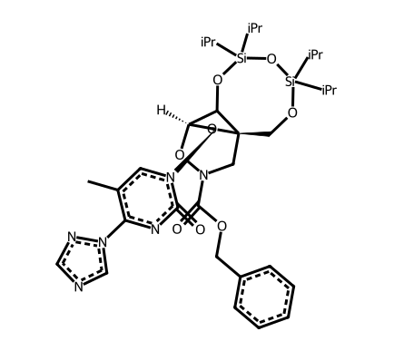 Cc1cn([C@@H]2O[C@]34CO[Si](C(C)C)(C(C)C)O[Si](C(C)C)(C(C)C)OC3[C@@H]2ON(C(=O)OCc2ccccc2)C4)c(=O)nc1-n1cncn1